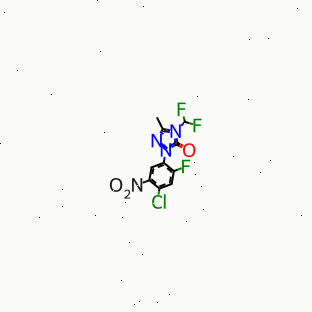 Cc1nn(-c2cc([N+](=O)[O-])c(Cl)cc2F)c(=O)n1C(F)F